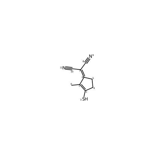 CC1=C(S)CCC1=C(C#N)C#N